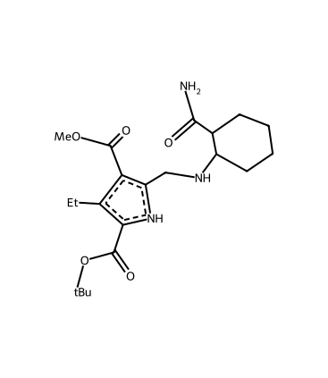 CCc1c(C(=O)OC(C)(C)C)[nH]c(CNC2CCCCC2C(N)=O)c1C(=O)OC